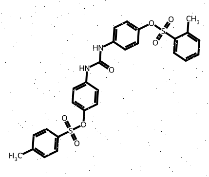 Cc1ccc(S(=O)(=O)Oc2ccc(NC(=O)Nc3ccc(OS(=O)(=O)c4ccccc4C)cc3)cc2)cc1